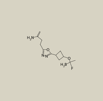 BC(C)(F)OC1CC(c2nnc(CCC(=C)N)o2)C1